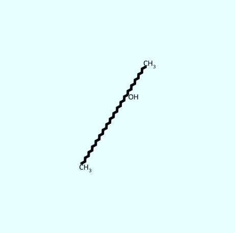 CCCCCCCCCCCCCCCCCCCCCCCCCCC(O)CCCCCCCCCCC